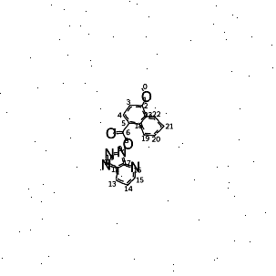 COc1ccc(C(=O)On2nnc3cccnc32)c2ccccc12